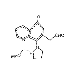 COC[C@H]1CCCN1c1c(CC=O)cc(Cl)c2cccnc12